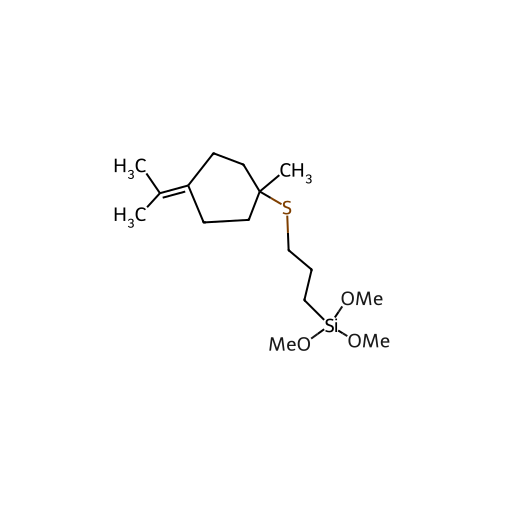 CO[Si](CCCSC1(C)CCC(=C(C)C)CC1)(OC)OC